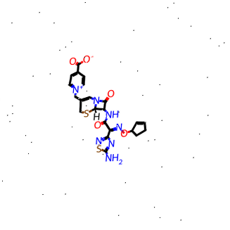 Nc1nc(C(=NOC2C=CCC2)C(=O)NC2C(=O)N3C=C(C[n+]4ccc(C(=O)[O-])cc4)CS[C@@H]23)ns1